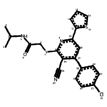 CC(C)NC(=O)CSc1nc(-c2cccs2)cc(-c2ccc(Cl)cc2)c1C#N